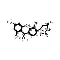 Cc1cc(C)c(C(C)c2ccc(N3CC(=O)NS3(=O)=O)c(O)c2)c(C)c1